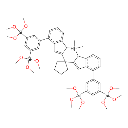 CO[Si](OC)(OC)c1cc(-c2cccc3c2C=C2[CH]3[Hf]([CH3])([CH3])[CH]3C(=Cc4c(-c5cc([Si](OC)(OC)OC)cc([Si](OC)(OC)OC)c5)cccc43)C23CCCC3)cc([Si](OC)(OC)OC)c1